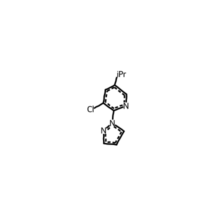 CC(C)c1cnc(-n2cccn2)c(Cl)c1